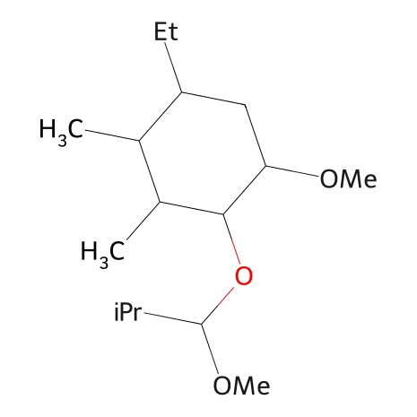 CCC1CC(OC)C(OC(OC)C(C)C)C(C)C1C